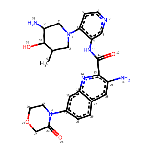 CC1CN(c2ccncc2NC(=O)c2nc3cc(N4CCOCC4=O)ccc3cc2N)CC(N)C1O